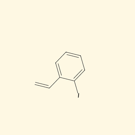 C=Cc1ccccc1I